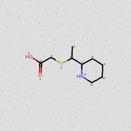 CC(SCC(=O)O)C1CCCCN1